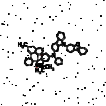 CC1C=C2c3ccccc3C3(c4ccccc4[Si](C)(C)c4cc(N(c5ccccc5)c5ccc6c7ccccc7n(-c7ccc8c(c7)oc7ccccc78)c6c5)ccc43)c3cccc(c32)C1